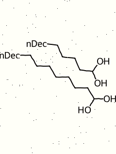 CCCCCCCCCCCCCCC(O)O.CCCCCCCCCCCCCCCCCC(O)O